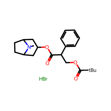 Br.CN1C2CCC1CC(OC(=O)C(COC(=O)C(C)(C)C)c1ccccc1)C2